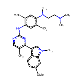 COc1ccc2c(-c3nc(Nc4cc([N+](=O)[O-])c(N(C)CCN(C)C)cc4OC)ncc3C)cn(C)c2c1